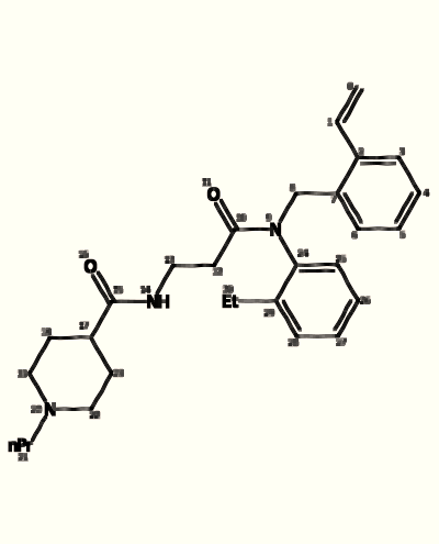 C=Cc1ccccc1CN(C(=O)CCNC(=O)C1CCN(CCC)CC1)c1ccccc1CC